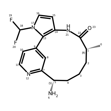 C[C@@H]1CCC[C@H](N)c2cc(ccn2)-c2c(ccn2C(F)F)NC1=O